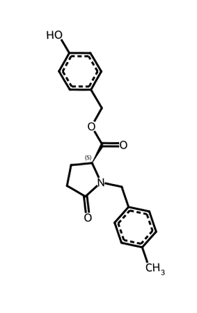 Cc1ccc(CN2C(=O)CC[C@H]2C(=O)OCc2ccc(O)cc2)cc1